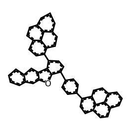 c1ccc2cc3c(cc2c1)oc1c(-c2ccc(-c4ccc5ccc6cccc7ccc4c5c67)cc2)ccc(-c2ccc4ccc5cccc6ccc2c4c56)c13